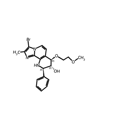 COCCO[C@@H]1c2ccn3c(Br)c(C)nc3c2N[C@H](c2ccccc2)[C@H]1O